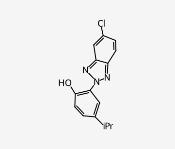 CC(C)c1ccc(O)c(-n2nc3ccc(Cl)cc3n2)c1